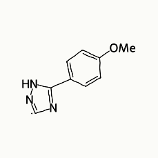 COc1ccc(-c2n[c]n[nH]2)cc1